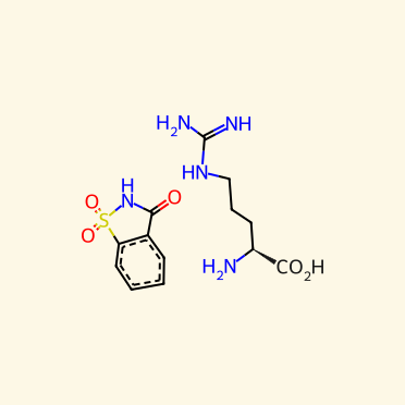 N=C(N)NCCC[C@H](N)C(=O)O.O=C1NS(=O)(=O)c2ccccc21